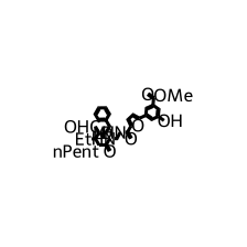 CCCCCC(C(=O)NCNC(=O)c1ccc(-c2cc(O)cc(C(=O)OC)c2)o1)C(CC)N(C=O)OCc1ccccc1